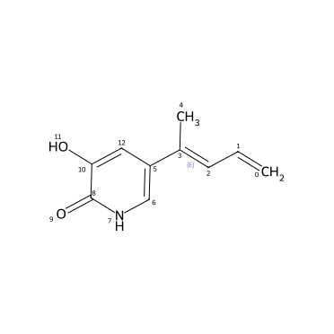 C=C/C=C(\C)c1c[nH]c(=O)c(O)c1